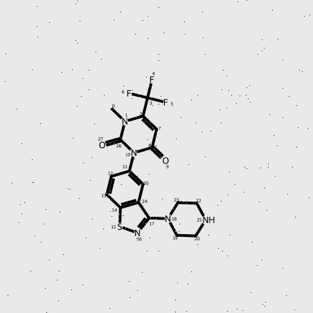 Cn1c(C(F)(F)F)cc(=O)n(-c2ccc3snc(N4CCNCC4)c3c2)c1=O